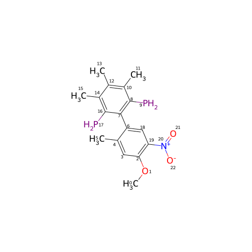 COc1cc(C)c(-c2c(P)c(C)c(C)c(C)c2P)cc1[N+](=O)[O-]